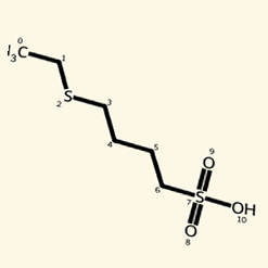 CCSCCCCS(=O)(=O)O